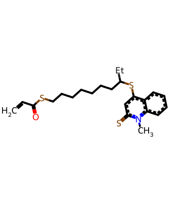 C=CC(=O)SCCCCCCCC(CC)Sc1cc(=S)n(C)c2ccccc12